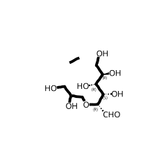 CC.O=C[C@H](OCC(O)CO)[C@@H](O)[C@H](O)[C@H](O)CO